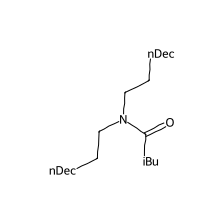 CCCCCCCCCCCCN(CCCCCCCCCCCC)C(=O)C(C)CC